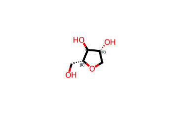 OC[C@H]1OC[C@@H](O)[C]1O